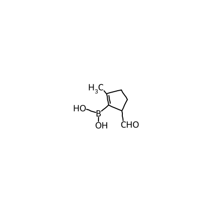 CC1=C(B(O)O)C(C=O)CC1